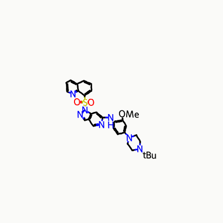 COc1cc(N2CCN(C(C)(C)C)CC2)ccc1Nc1cc2c(cn1)cnn2S(=O)(=O)c1cccc2cccnc12